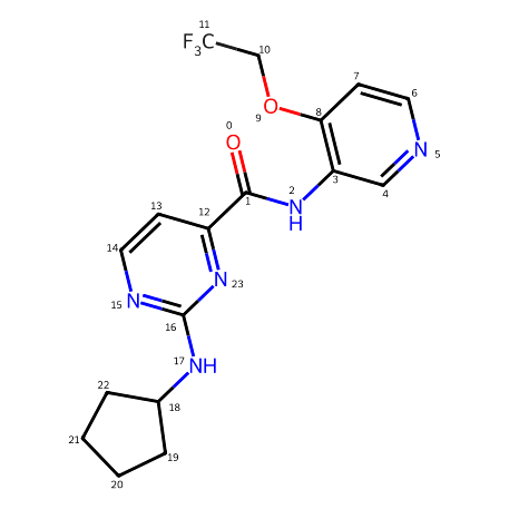 O=C(Nc1cnccc1OCC(F)(F)F)c1ccnc(NC2CCCC2)n1